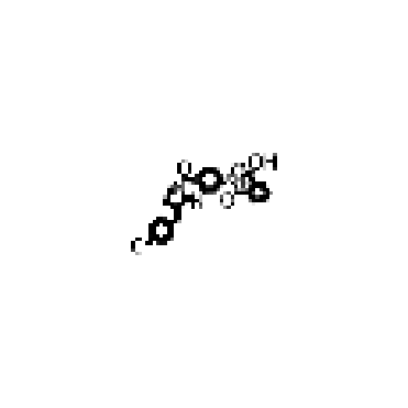 O=C(O)c1ccccc1C(=O)Nc1ccc2c(=O)n3c(nc2c1)C(=Cc1ccc(Cl)cc1)CC3